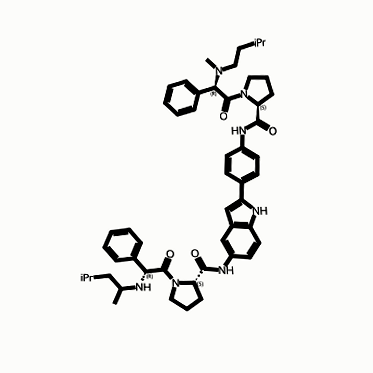 CC(C)CCN(C)[C@@H](C(=O)N1CCC[C@H]1C(=O)Nc1ccc(-c2cc3cc(NC(=O)[C@@H]4CCCN4C(=O)[C@H](NC(C)CC(C)C)c4ccccc4)ccc3[nH]2)cc1)c1ccccc1